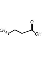 C.O=C(O)CCI